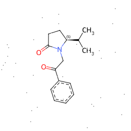 CC(C)[C@@H]1CCC(=O)N1CC(=O)c1ccccc1